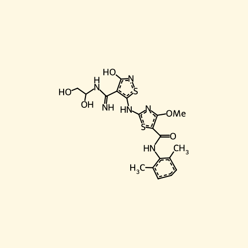 COc1nc(Nc2snc(O)c2C(=N)NC(O)CO)sc1C(=O)Nc1c(C)cccc1C